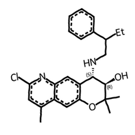 CCC(CN[C@H]1c2cc3nc(Cl)cc(C)c3cc2OC(C)(C)[C@@H]1O)c1ccccc1